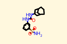 NS(=O)(=O)c1cccc(NC(=O)NC23CC4CCCC(C4)(C2)C3)c1